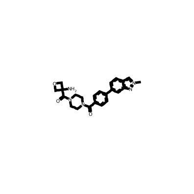 Cn1cc2ccc(-c3ccc(C(=O)N4CCN(C(=O)C5(N)COC5)CC4)cc3)cc2n1